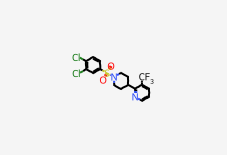 O=S(=O)(c1ccc(Cl)c(Cl)c1)N1CCC(c2ncccc2C(F)(F)F)CC1